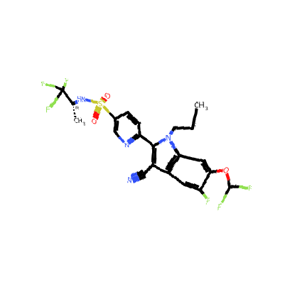 CCCn1c(-c2ccc(S(=O)(=O)N[C@H](C)C(F)(F)F)cn2)c(C#N)c2cc(F)c(OC(F)F)cc21